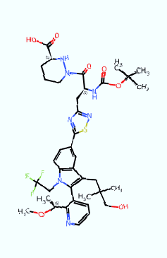 CO[C@@H](C)c1ncccc1-c1c(CC(C)(C)CO)c2cc(-c3nc(C[C@H](NC(=O)OC(C)(C)C)C(=O)N4CCC[C@@H](C(=O)O)N4)ns3)ccc2n1CC(F)(F)F